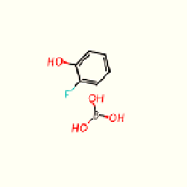 OB(O)O.Oc1ccccc1F